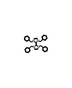 C1=CN(Cc2ccccc2)C(=C2N(Cc3ccccc3)C=CN2Cc2ccccc2)N1Cc1ccccc1